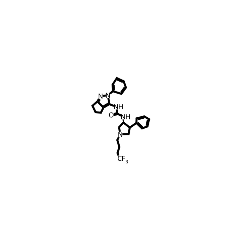 O=C(Nc1c2c(nn1-c1ccccc1)CCC2)N[C@@H]1CN(CCCC(F)(F)F)CC1c1ccccc1